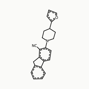 N#Cc1c(N2CCC(c3ccco3)CC2)ccc2c1Cc1ccccc1-2